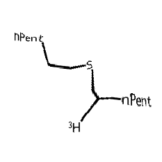 [3H]C(CCCCC)SCCCCCC